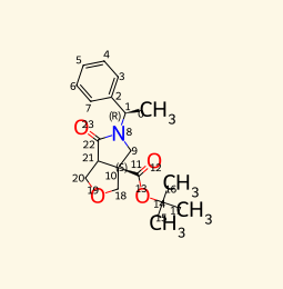 C[C@H](c1ccccc1)N1C[C@]2(C(=O)OC(C)(C)C)COCC2C1=O